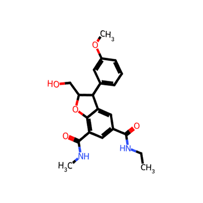 CCNC(=O)c1cc(C(=O)NC)c2c(c1)C(c1cccc(OC)c1)C(CO)O2